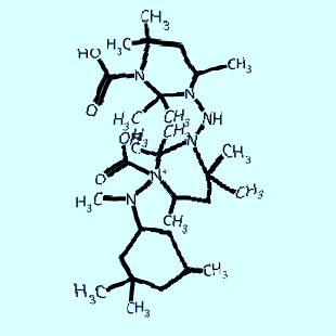 CC1CC(N(C)[N+]2(C(=O)O)C(C)CC(C)(C)N(NN3C(C)CC(C)(C)N(C(=O)O)C3(C)C)C2(C)C)CC(C)(C)C1